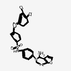 NC1c2ccoc2N=CN1c1ccc(NS(=O)(=O)c2ccc(Oc3ccc(Cl)c(Cl)c3)cc2)cc1